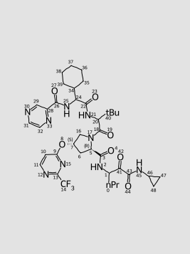 CCCC(NC(=O)[C@H]1C[C@H](Oc2ccnc(C(F)(F)F)n2)CN1C(=O)C(NC(=O)C(NC(=O)c1cnccn1)C1CCCCC1)C(C)(C)C)C(=O)C(=O)NC1CC1